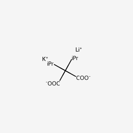 CC(C)C(C(=O)[O-])(C(=O)[O-])C(C)C.[K+].[Li+]